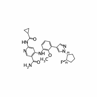 COc1c(Nc2cc(NC(=O)C3CC3)ncc2C(N)=O)cccc1-c1cnn([C@@H]2CCC[C@H]2F)c1